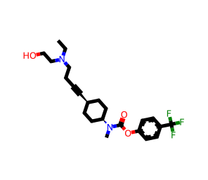 CCN(CCO)CCC#C[C@H]1CC[C@H](N(C)C(=O)Oc2ccc(C(F)(F)F)cc2)CC1